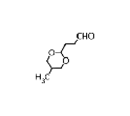 CC1COC(CCC=O)OC1